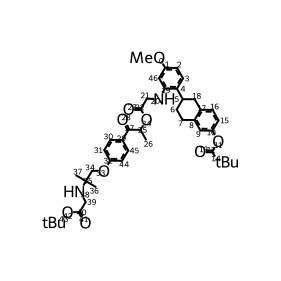 COc1ccc(C2CCc3cc(OC(=O)C(C)(C)C)ccc3C2)c(NCC(=O)OC(C)C(=O)c2ccc(OCC(C)(C)NCC(=O)OC(C)(C)C)cc2)c1